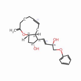 C=C1CCC/C=C\C[C@@H]2[C@@H](/C=C/[C@@H](O)COc3ccccc3)[C@H](O)C[C@@H]2O1